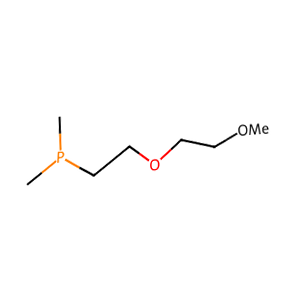 COCCOCCP(C)C